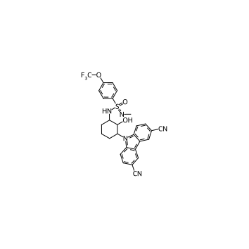 CN=S(=O)(NC1CCCC(n2c3ccc(C#N)cc3c3cc(C#N)ccc32)C1O)c1ccc(OC(F)(F)F)cc1